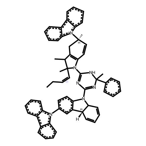 CC/C=C\C1(C)C(C)C2=C(C=C[C@](C)(n3c4ccccc4c4ccccc43)C2)N1C1=NC(N2c3ccc(-n4c5ccccc5c5ccccc54)cc3[C@H]3C=CC=CC32)=NC(C)(c2ccccc2)N1